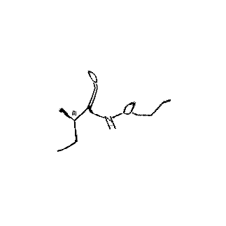 CCONC(=O)[C@H](C)CC